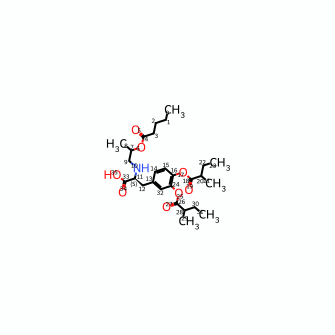 CCCCC(=O)OC(C)CN[C@@H](Cc1ccc(OC(=O)C(C)CC)c(OC(=O)C(C)CC)c1)C(=O)O